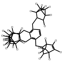 ClC1=C(Cl)C2(Cl)C(Cc3ccc(CC4C(Cl)C5(Cl)C(Cl)=C(Cl)C4(Cl)C5(Cl)Cl)c(CC4C(Cl)C5(Cl)C(Cl)=C(Cl)C4(Cl)C5(Cl)Cl)c3CC3C(Cl)C4(Cl)C(Cl)=C(Cl)C3(Cl)C4(Cl)Cl)C(Cl)C1(Cl)C2(Cl)Cl